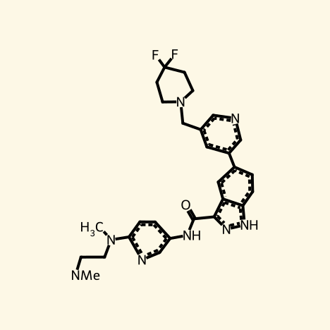 CNCCN(C)c1ccc(NC(=O)c2n[nH]c3ccc(-c4cncc(CN5CCC(F)(F)CC5)c4)cc23)cn1